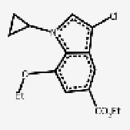 CCOC(=O)c1cc(OCC)c2c(c1)c(Cl)cn2C1CC1